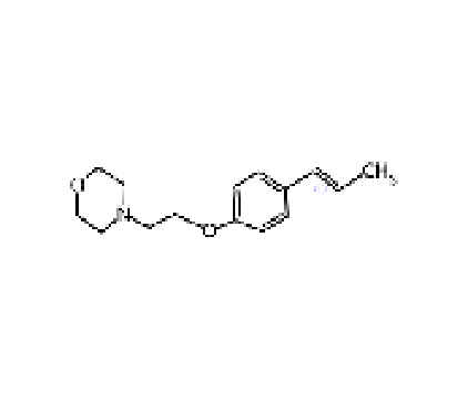 C/C=C/c1ccc(OCCN2CCOCC2)cc1